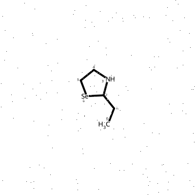 CCC1NCC[Se]1